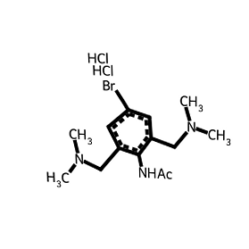 CC(=O)Nc1c(CN(C)C)cc(Br)cc1CN(C)C.Cl.Cl